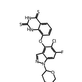 Fc1cc2c(cnn2C2CCCCO2)c(Oc2cccc3c(=S)[nH]c(=S)[nH]c23)c1Cl